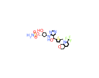 Cc1sc(C(=O)c2cncnc2N[C@@H]2C[C@H](COS(N)(=O)=O)[C@@H](O)C2)cc1[C@H]1OCCc2ccc(C(F)(F)F)nc21